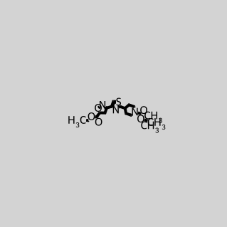 CCOC(=O)C1CC(c2csc(C3CCN(C(=O)OC(C)(C)C)CC3)n2)=NO1